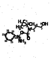 CC(C)(C)N(CCCO)C(=O)ON(N)c1ccccc1